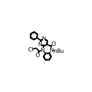 CCCCN1C(=O)c2cnc(-c3ccccc3)nc2N(C(=O)CCl)c2ccccc21